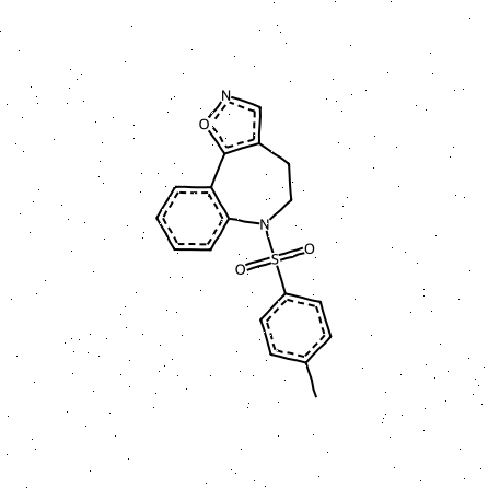 Cc1ccc(S(=O)(=O)N2CCc3cnoc3-c3ccccc32)cc1